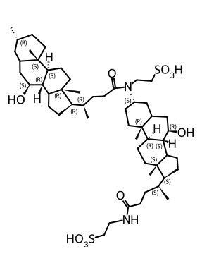 C[C@@H]1CC[C@@]2(C)C(C1)C[C@H](O)[C@H]1C3CC[C@H]([C@H](C)CCC(=O)N(CCS(=O)(=O)O)[C@H]4CC[C@]5(C)C(C4)C[C@@H](O)[C@@H]4C6CC[C@@H]([C@@H](C)CCC(=O)NCCS(=O)(=O)O)[C@]6(C)CC[C@H]45)[C@@]3(C)CC[C@@H]12